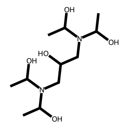 CC(O)N(CC(O)CN(C(C)O)C(C)O)C(C)O